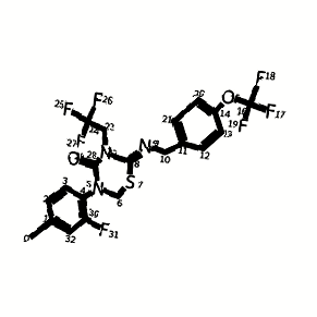 Cc1ccc(N2CS/C(=N\Cc3ccc(OC(F)(F)F)cc3)N(CC(F)(F)F)C2=O)c(F)c1